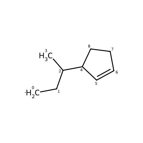 [CH2]CC(C)C1C=CCC1